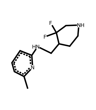 Cc1cccc(NCC2CCNCC2(F)F)n1